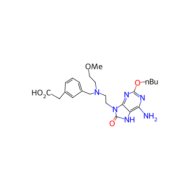 CCCCOc1nc(N)c2[nH]c(=O)n(CCN(CCOC)Cc3cccc(CC(=O)O)c3)c2n1